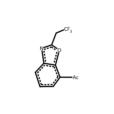 CC(=O)c1cccc2nc(CC(F)(F)F)oc12